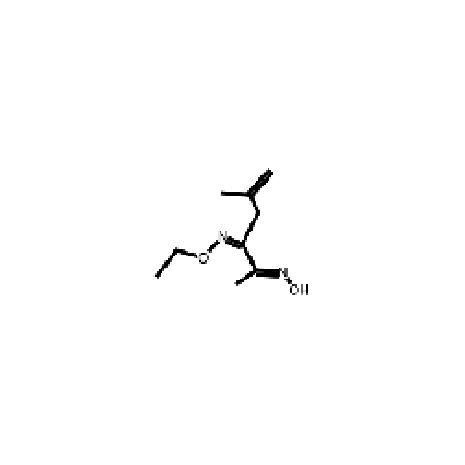 C=C(C)CC(=NOCC)C(C)=NO